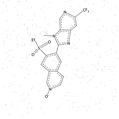 CCS(=O)(=O)c1cc2c[n+]([O-])ccc2cc1-c1nc2cc(C(F)(F)F)ncc2n1C